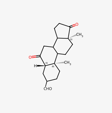 C[C@]12CCC3C(CC(=O)[C@H]4CC(C=O)CC[C@]34C)C1CCC2=O